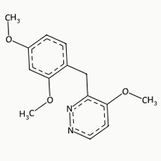 COc1ccc(Cc2nnccc2OC)c(OC)c1